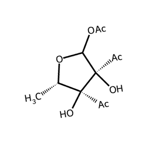 CC(=O)OC1O[C@@H](C)[C@@](O)(C(C)=O)[C@@]1(O)C(C)=O